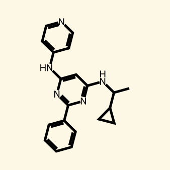 CC(Nc1cc(Nc2ccncc2)nc(-c2ccccc2)n1)C1CC1